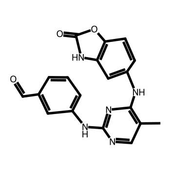 Cc1cnc(Nc2cccc(C=O)c2)nc1Nc1ccc2oc(=O)[nH]c2c1